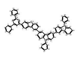 c1ccc(-c2cc(-c3ccc4c(c3)sc3ccc(-c5ccc6c(c5)c5cc(-c7ccc8c(c7)c7ccccc7n8-c7ccccc7)ccc5n6-c5ccccc5)cc34)nc(-c3ccccc3)n2)cc1